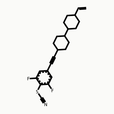 C=CC1CCC(C2CCC(C#Cc3cc(F)c(SC#N)c(F)c3)CC2)CC1